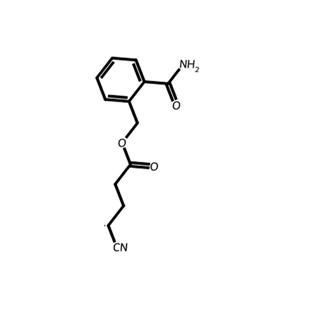 N#C[CH]CCC(=O)OCc1ccccc1C(N)=O